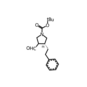 CC(C)(C)OC(=O)N1CC(C=O)[C@@H](CCc2ccccc2)C1